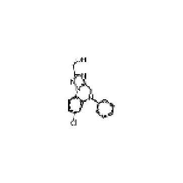 OCc1nc2n(n1)-c1ccc(Cl)cc1N(c1ccccc1)C2